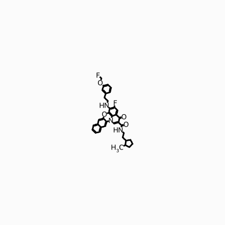 CC1CCCC1CCNC(=O)c1cn2c3c(c(NCCc4cccc(OCF)c4)c(F)cc3c1=O)Oc1cc3ccccc3cc1-2